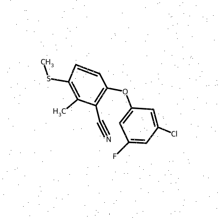 CSc1ccc(Oc2cc(F)cc(Cl)c2)c(C#N)c1C